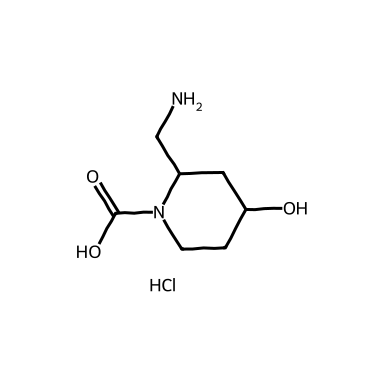 Cl.NCC1CC(O)CCN1C(=O)O